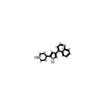 c1ccc2c(-c3c[nH]c(C4CCNCC4)c3)ccnc2c1